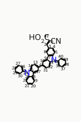 N#C/C(=C\c1ccc2c(c1)c1cc(-c3ccc4c(c3)c3ccccc3n4-c3ccccc3)ccc1n2-c1ccccc1)C(=O)O